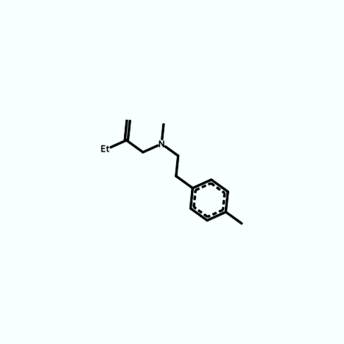 C=C(CC)CN(C)CCc1ccc(C)cc1